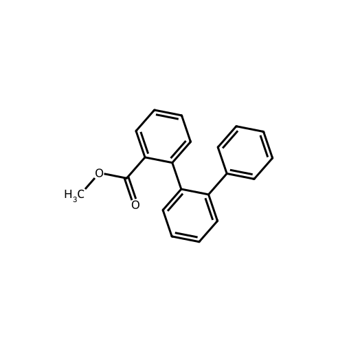 COC(=O)c1ccccc1-c1ccccc1-c1ccccc1